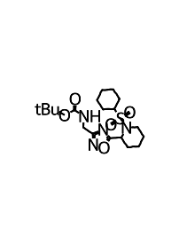 CC(C)(C)OC(=O)NCc1noc(C2CCCCN2S(=O)(=O)C2CCCCC2)n1